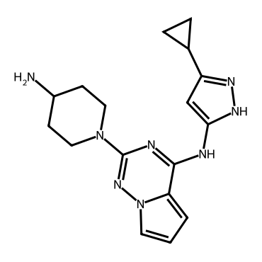 NC1CCN(c2nc(Nc3cc(C4CC4)n[nH]3)c3cccn3n2)CC1